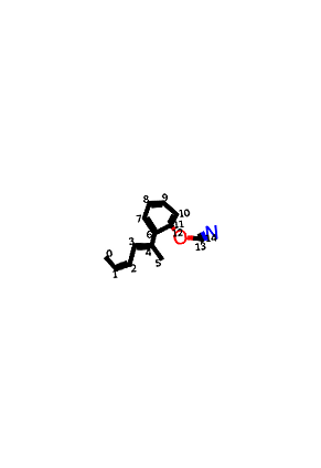 C/C=C\C=C(/C)c1ccccc1OC#N